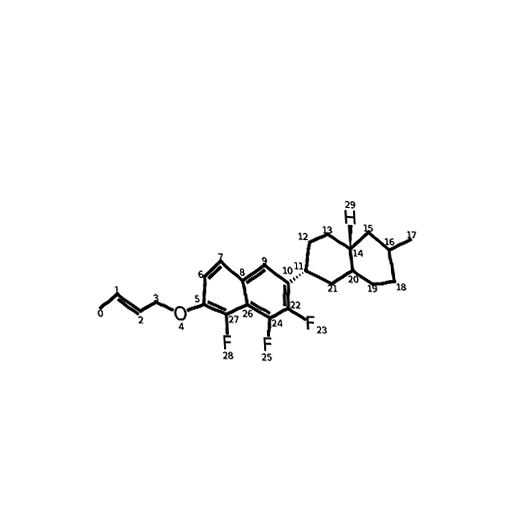 C/C=C/COc1ccc2cc([C@@H]3CC[C@@H]4CC(C)CCC4C3)c(F)c(F)c2c1F